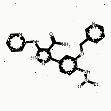 CC[S+]([O-])Nc1ccc(-c2n[nH]c(Nc3ccccn3)c2C(N)=O)cc1OCc1cccnc1